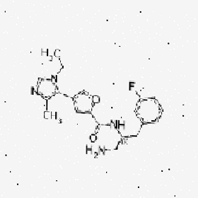 CCn1cnc(C)c1-c1coc(C(=O)N[C@H](CN)Cc2cccc(F)c2)c1